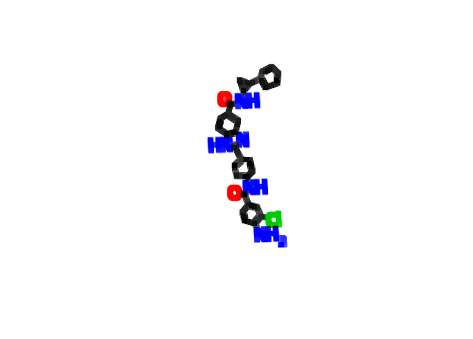 Nc1ccc(C(=O)Nc2ccc(-c3nc4cc(C(=O)NC5CC5c5ccccc5)ccc4[nH]3)cc2)cc1Cl